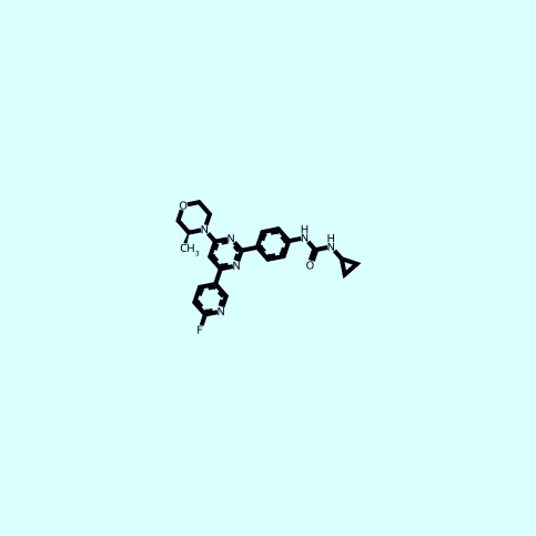 C[C@H]1COCCN1c1cc(-c2ccc(F)nc2)nc(-c2ccc(NC(=O)NC3CC3)cc2)n1